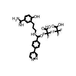 N=C(N)c1ccc(O)c(CCCNC(=O)c2ccc(-c3ccnnc3)cc2)c1.O=C(O)C(F)(F)F.O=C(O)C(F)(F)F